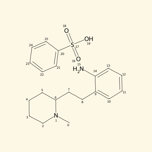 CN1CCCCC1CCc1ccccc1N.O=S(=O)(O)c1ccccc1